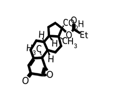 CCC(=O)O[C@]1(C(=O)O)CC[C@H]2[C@@H]3CCC4=CC(=O)C5=C(O5)[C@]4(C)[C@H]3CC[C@@]21C